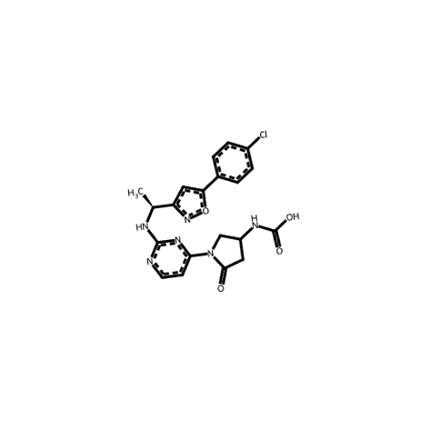 C[C@H](Nc1nccc(N2CC(NC(=O)O)CC2=O)n1)c1cc(-c2ccc(Cl)cc2)on1